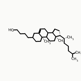 CC(C)CCC[C@@H](C)[C@H]1CCC2C3CC=C4CC([CH]CCCO)CC[C@]4(C)C3CC[C@@]21C